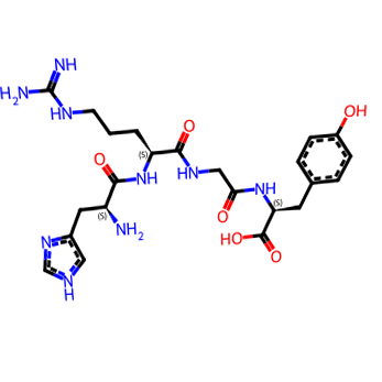 N=C(N)NCCC[C@H](NC(=O)[C@@H](N)Cc1c[nH]cn1)C(=O)NCC(=O)N[C@@H](Cc1ccc(O)cc1)C(=O)O